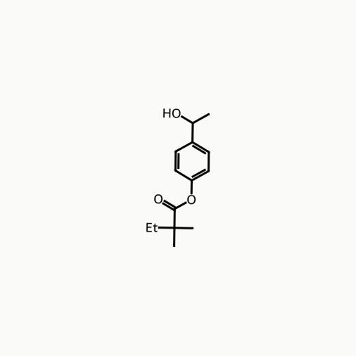 CCC(C)(C)C(=O)Oc1ccc(C(C)O)cc1